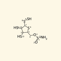 NS(=O)OCC1SC(SS)C(S)C1S